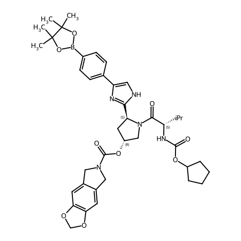 CC(C)[C@H](NC(=O)OC1CCCC1)C(=O)N1C[C@H](OC(=O)N2Cc3cc4c(cc3C2)OCO4)C[C@H]1c1nc(-c2ccc(B3OC(C)(C)C(C)(C)O3)cc2)c[nH]1